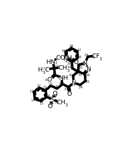 CC(C)(NC(=O)O)C(=O)NC(CCc1ccccc1S(C)(=O)=O)C(=O)N1CCC2=NN(CC(F)(F)F)C(=O)C2(Cc2ccccn2)C1